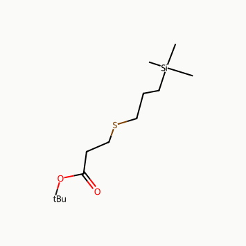 CC(C)(C)OC(=O)CCSCCC[Si](C)(C)C